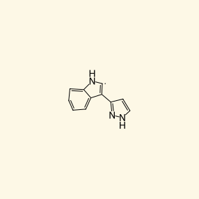 [c]1[nH]c2ccccc2c1-c1cc[nH]n1